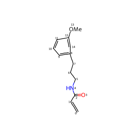 C=CC(=O)NCCCc1cccc(OC)c1